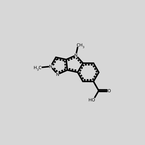 Cn1cc2c(n1)c1cc(C(=O)O)ccc1n2C